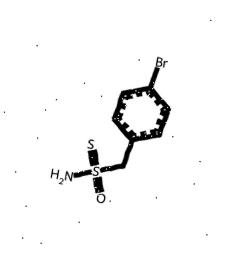 NS(=O)(=S)Cc1ccc(Br)cc1